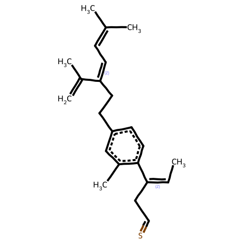 C=C(C)/C(=C\C=C(C)C)CCc1ccc(/C(=C\C)CC=S)c(C)c1